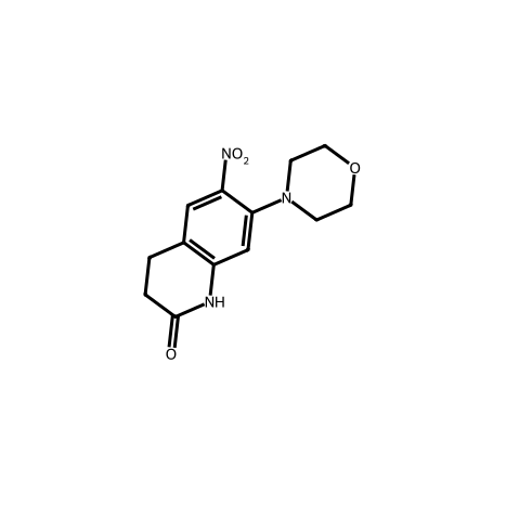 O=C1CCc2cc([N+](=O)[O-])c(N3CCOCC3)cc2N1